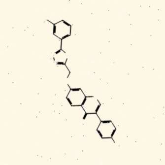 O=c1c(-c2ccc(O)cc2)coc2cc(OCc3nnc(-c4cccc(Cl)c4)o3)ccc12